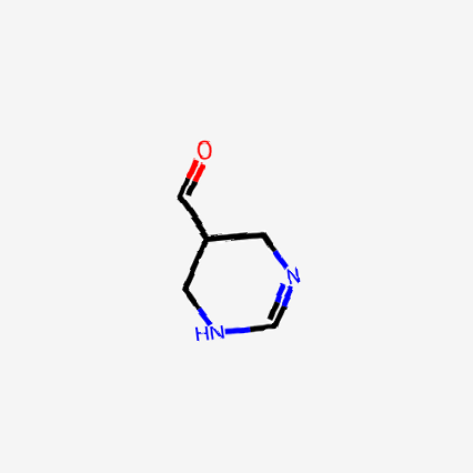 O=CC1CN=CNC1